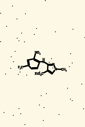 CCOC(=O)c1cn(C)nc1Nc1ccc(C(F)(F)F)cc1[N+](=O)[O-]